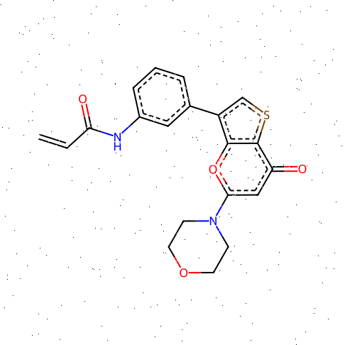 C=CC(=O)Nc1cccc(-c2csc3c(=O)cc(N4CCOCC4)oc23)c1